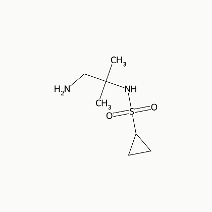 CC(C)(CN)NS(=O)(=O)C1CC1